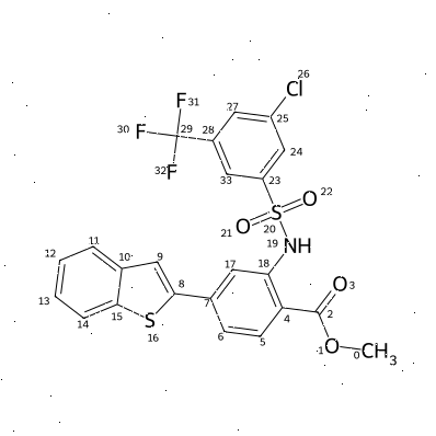 COC(=O)c1ccc(-c2cc3ccccc3s2)cc1NS(=O)(=O)c1cc(Cl)cc(C(F)(F)F)c1